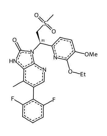 CCOc1nc([C@H](CS(C)(=O)=O)n2c(=O)[nH]c3c(C)c(-c4c(F)cccc4F)cnc32)ccc1OC